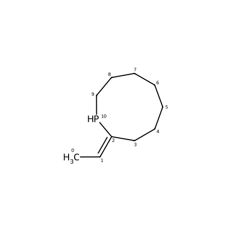 CC=C1CCCCCCCP1